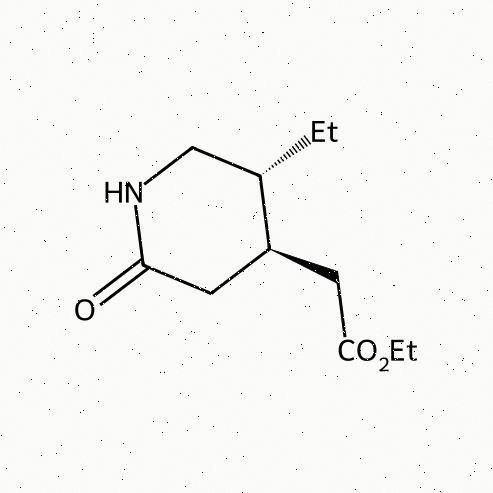 CCOC(=O)C[C@H]1CC(=O)NC[C@@H]1CC